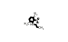 CCCNc1c(C)ccc(C)c1[N+](=O)[O-]